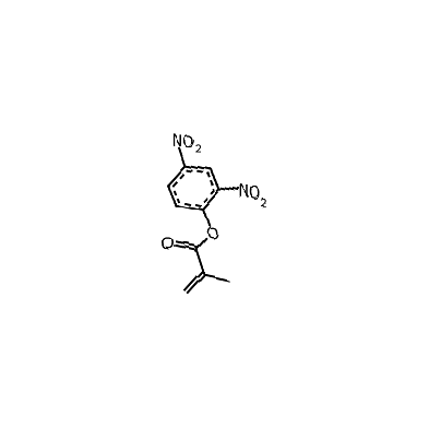 C=C(C)C(=O)Oc1ccc([N+](=O)[O-])cc1[N+](=O)[O-]